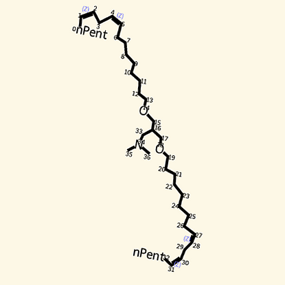 CCCCC/C=C\C/C=C\CCCCCCCCOCC(COCCCCCCCC/C=C\C/C=C\CCCCC)CN(C)C